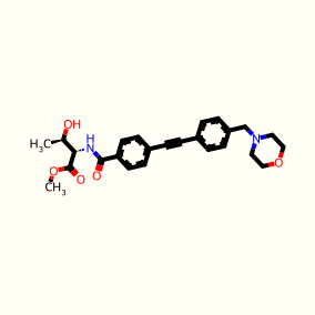 COC(=O)[C@@H](NC(=O)c1ccc(C#Cc2ccc(CN3CCOCC3)cc2)cc1)[C@@H](C)O